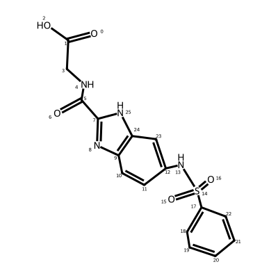 O=C(O)CNC(=O)c1nc2ccc(NS(=O)(=O)c3ccccc3)cc2[nH]1